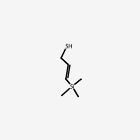 C[Si](C)(C)C=CCS